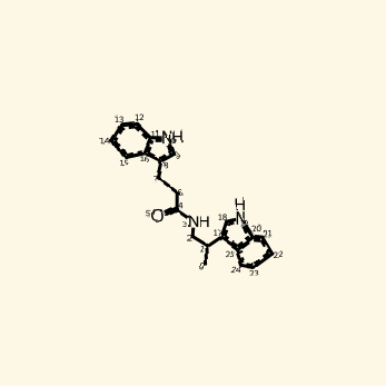 CC(CNC(=O)CCc1c[nH]c2ccccc12)c1c[nH]c2ccccc12